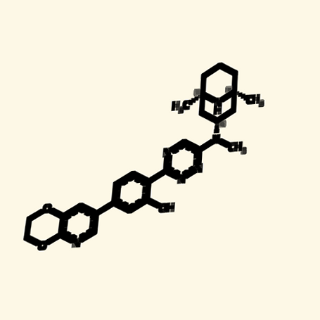 CN(c1cnc(-c2ccc(-c3cnc4c(c3)OCCO4)cc2O)nn1)[C@H]1C[C@]2(C)CCC[C@](C)(C1)N2